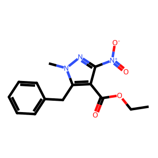 CCOC(=O)c1c([N+](=O)[O-])nn(C)c1Cc1ccccc1